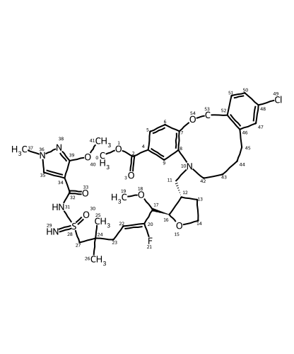 COC(=O)c1ccc2c(c1)N(C[C@@H]1CCO[C@H]1C(OC)/C(F)=C/CC(C)(C)CS(=N)(=O)NC(=O)c1cn(C)nc1OC)CCCCc1cc(Cl)ccc1CO2